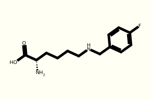 N[C@@H](CCCCNCc1ccc(F)cc1)C(=O)O